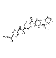 COC(=O)c1ccc(NC(=O)N2CCN(C(=O)c3ccc(N(C)c4ccncc4)cc3)CC2)cc1